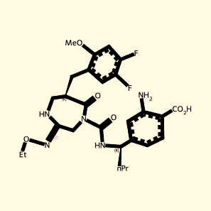 CCC[C@@H](NC(=O)N1C/C(=N/OCC)NC[C@@H](Cc2cc(F)c(F)cc2OC)C1=O)c1ccc(C(=O)O)c(N)c1